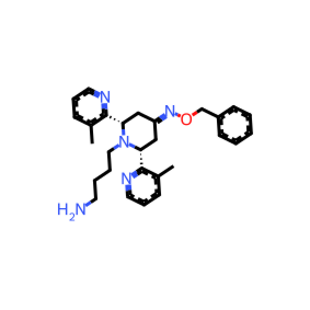 Cc1cccnc1[C@H]1CC(=NOCc2ccccc2)C[C@@H](c2ncccc2C)N1CCCCN